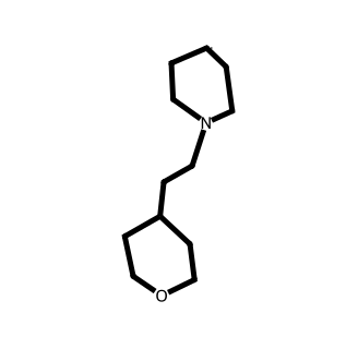 [CH]1CCN(CCC2CCOCC2)CC1